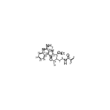 C=C(C)C(=O)NCCCC(C)On1c(COCC)nc2c(N)nc3ccccc3c21